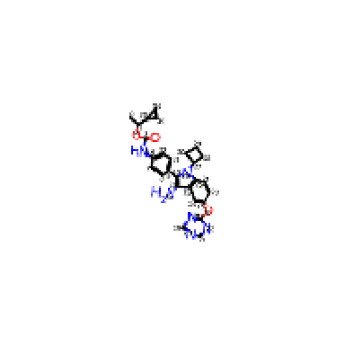 CC(OC(=O)Nc1ccc(-c2c(N)c3cc(Oc4ncncn4)ccc3n2C2CCC2)cc1)C1CC1